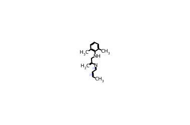 C=C(CNc1c(C)cccc1C)/N=C\C=C/C